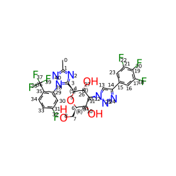 Cc1nc([C@@H]2O[C@H](CO)[C@H](O)[C@H](n3cc(-c4cc(F)c(F)c(F)c4)nn3)[C@H]2O)n(-c2cc(F)ccc2C(F)(F)F)n1